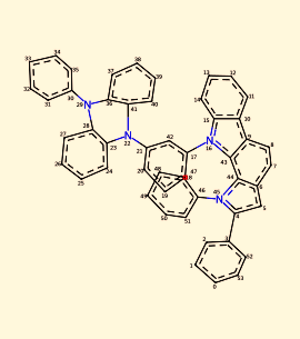 c1ccc(-c2cc3ccc4c5ccccc5n(-c5cccc(N6c7ccccc7N(c7ccccc7)c7ccccc76)c5)c4c3n2-c2ccccc2)cc1